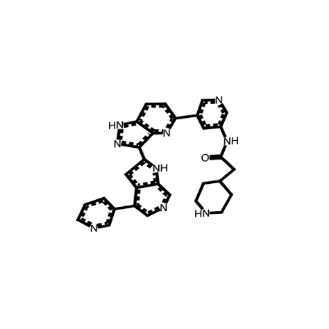 O=C(CC1CCNCC1)Nc1cncc(-c2ccc3[nH]nc(-c4cc5c(-c6cccnc6)cncc5[nH]4)c3n2)c1